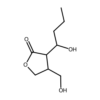 CCCC(O)C1C(=O)OCC1CO